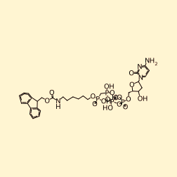 Nc1ccn([C@H]2CC(O)[C@@H](COP(=O)(O)OP(=O)(O)OP(=O)(O)CP(=O)(O)OCCCCCCNC(=O)OCC3c4ccccc4-c4ccccc43)O2)c(=O)n1